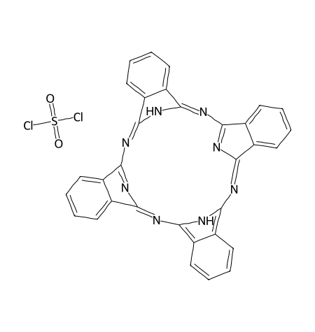 O=S(=O)(Cl)Cl.c1ccc2c(c1)-c1nc-2nc2[nH]c(nc3nc(nc4[nH]c(n1)c1ccccc41)-c1ccccc1-3)c1ccccc21